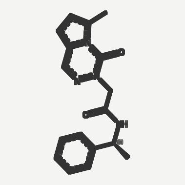 Cc1ccc2cnn(CC(=O)N[C@@H](C)c3ccccc3)c(=O)n12